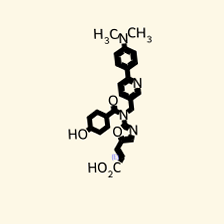 CN(C)c1ccc(-c2ccc(CN(C(=O)C3CCC(O)CC3)c3ncc(/C=C/C(=O)O)o3)cn2)cc1